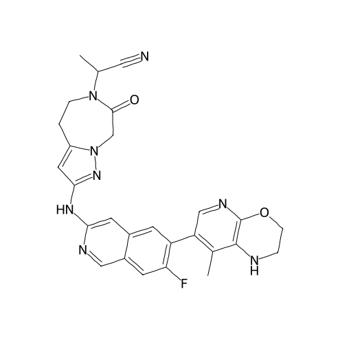 Cc1c(-c2cc3cc(Nc4cc5n(n4)CC(=O)N(C(C)C#N)CC5)ncc3cc2F)cnc2c1NCCO2